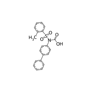 Cc1ccccc1S(=O)(=O)N(C(=O)O)c1ccc(-c2ccccc2)cc1